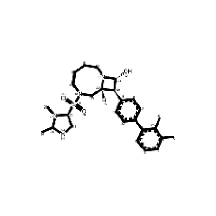 Cc1cccc(-c2ccc([C@@H]3[C@@H](O)N4CCCCN(S(=O)(=O)C5CNC(C)N5C)C[C@@H]34)cc2)c1C